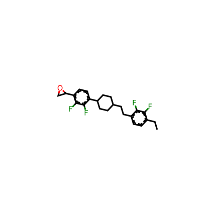 CCc1ccc(CCC2CCC(c3ccc(C4CO4)c(F)c3F)CC2)c(F)c1F